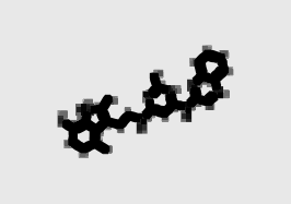 CC1=c2c(CCNc3cc(Nc4cnc5ccccc5n4)nc(C)n3)c(C)[nH]c2=C(F)CC1